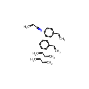 C=CC#N.C=CC=C.C=CC=C.C=Cc1ccccc1.C=Cc1ccccc1